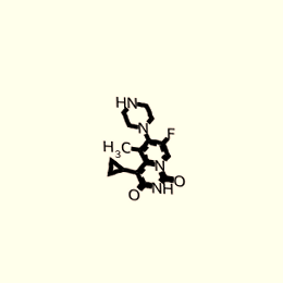 Cc1c(N2CCNCC2)c(F)cn2c(=O)[nH]c(=O)c(C3CC3)c12